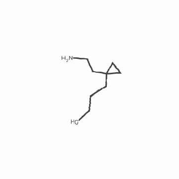 NCCC1(CCCO)CC1